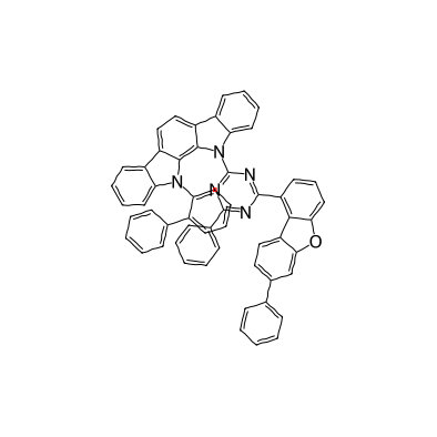 c1ccc(-c2ccc3c(c2)oc2cccc(-c4nc(-c5ccccc5)nc(-n5c6ccccc6c6ccc7c8ccccc8n(-c8ccccc8-c8ccccc8)c7c65)n4)c23)cc1